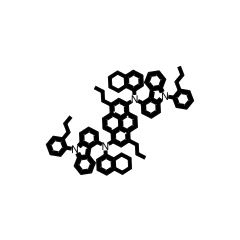 CCCc1ccccc1-n1c2ccccc2c2c(N(c3cccc4c3CCCC4)c3cc(CCC)c4ccc5c(N(c6cccc7c6CCCC7)c6cccc7c6c6ccccc6n7-c6ccccc6CCC)cc(CCC)c6ccc3c4c65)cccc21